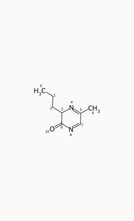 CCCC1N=C(C)C=NC1=O